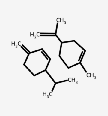 C=C(C)C1CC=C(C)CC1.C=C1C=CC(C(C)C)CC1